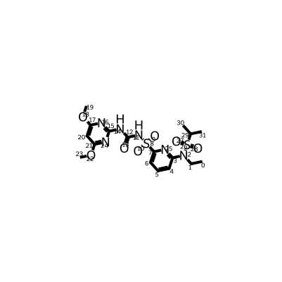 CCN(c1cccc(S(=O)(=O)NC(=O)Nc2nc(OC)cc(OC)n2)n1)S(=O)(=O)C(C)C